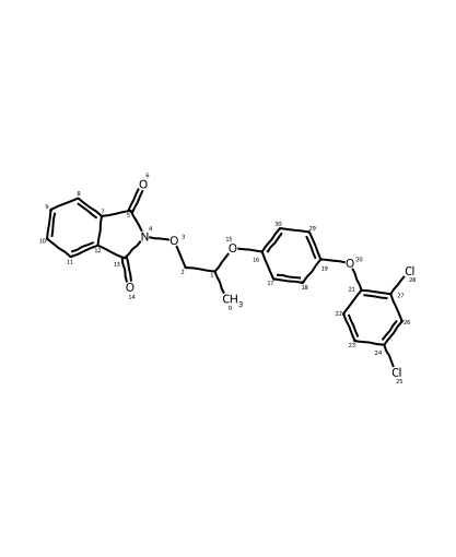 CC(CON1C(=O)c2ccccc2C1=O)Oc1ccc(Oc2ccc(Cl)cc2Cl)cc1